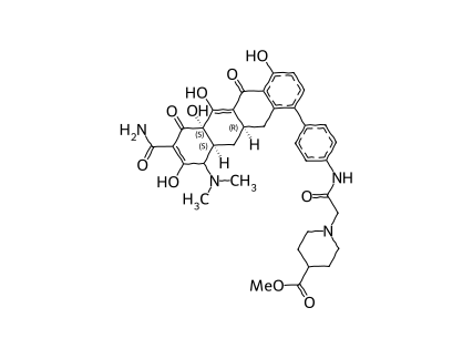 COC(=O)C1CCN(CC(=O)Nc2ccc(-c3ccc(O)c4c3C[C@H]3C[C@H]5C(N(C)C)C(O)=C(C(N)=O)C(=O)[C@@]5(O)C(O)=C3C4=O)cc2)CC1